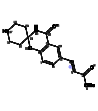 COC(=O)/C=C/c1ccc2c(c1)C(=O)NC1(CCNCC1)O2